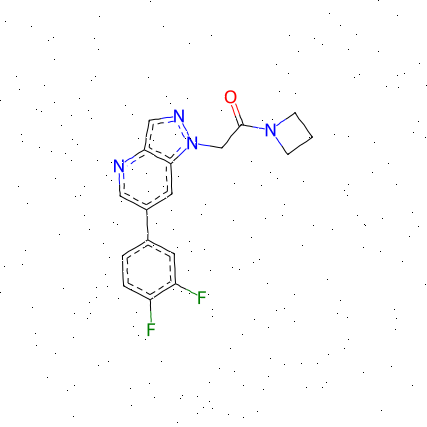 O=C(Cn1ncc2ncc(-c3ccc(F)c(F)c3)cc21)N1CCC1